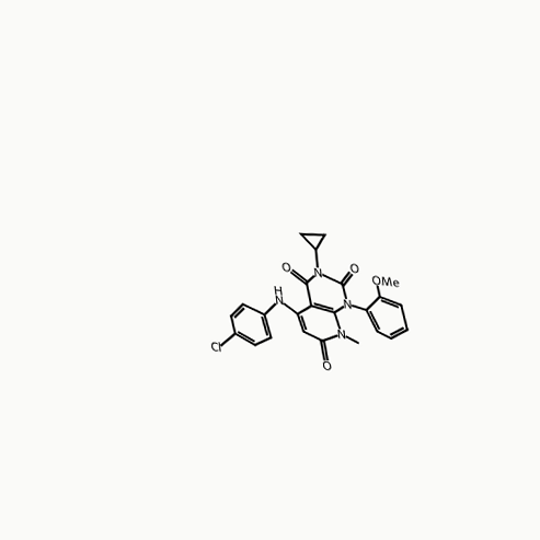 COc1ccccc1-n1c(=O)n(C2CC2)c(=O)c2c(Nc3ccc(Cl)cc3)cc(=O)n(C)c21